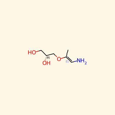 C/C(=C\N)OC[C@H](O)CO